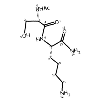 CC(=O)N[C@@H](CO)C(=O)N[C@@H](CCCCN)C(N)=O